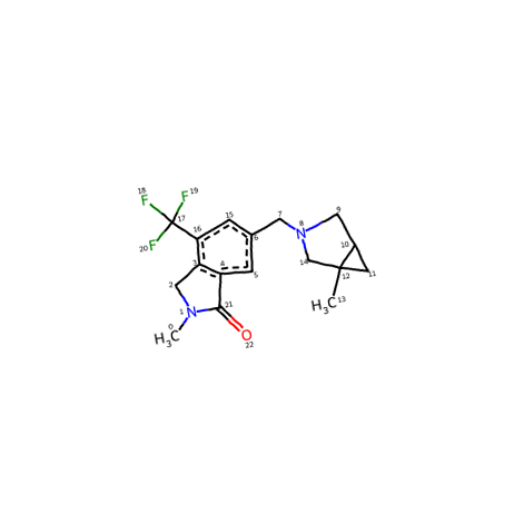 CN1Cc2c(cc(CN3CC4CC4(C)C3)cc2C(F)(F)F)C1=O